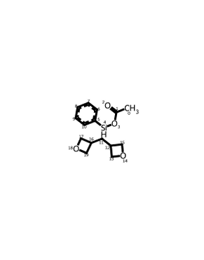 CC(=O)O[SiH](c1ccccc1)C(C1COC1)C1COC1